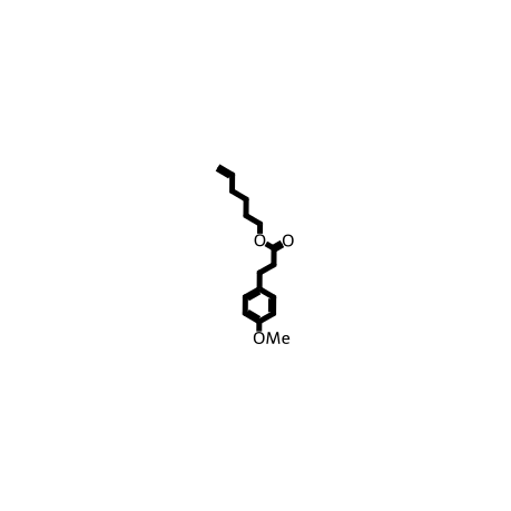 C=CCCCCOC(=O)CCc1ccc(OC)cc1